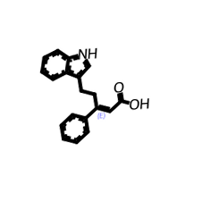 O=C(O)/C=C(\CCc1c[nH]c2ccccc12)c1ccccc1